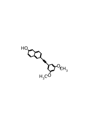 COc1cc(C#Cc2ccc3cc(O)ccc3c2)cc(OC)c1